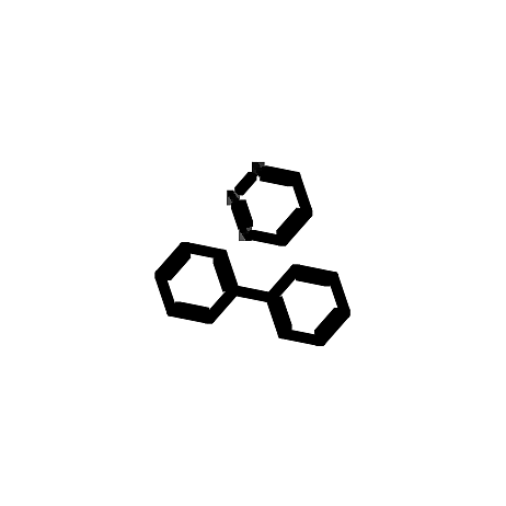 c1ccc(-c2ccccc2)cc1.c1cnnnc1